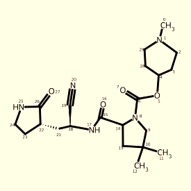 CN1CCC(OC(=O)N2CC(C)(C)CC2C(=O)N[C@H](C#N)C[C@@H]2CCNC2=O)CC1